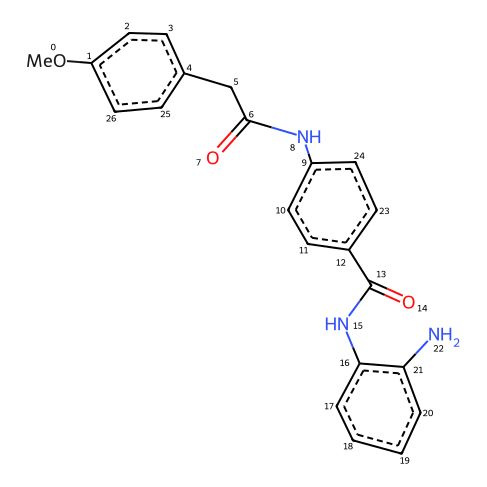 COc1ccc(CC(=O)Nc2ccc(C(=O)Nc3ccccc3N)cc2)cc1